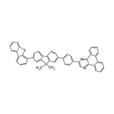 CC1(C)c2cc(-c3ccc(-c4cnc5c6ccccc6c6ccccc6c5n4)cc3)ccc2-c2ccc(-c3cccc4c3sc3ccccc34)cc21